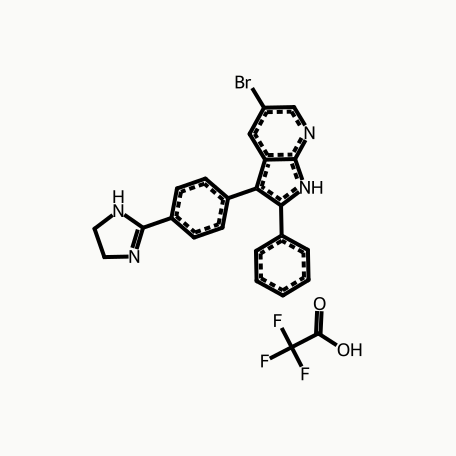 Brc1cnc2[nH]c(-c3ccccc3)c(-c3ccc(C4=NCCN4)cc3)c2c1.O=C(O)C(F)(F)F